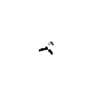 [CH3][In][CH3].[In]